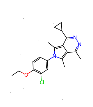 CCOc1ccc(-n2c(C)c3c(C)nnc(C4CC4)c3c2C)cc1Cl